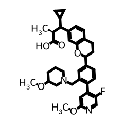 COc1cc(-c2ccc(C3CCc4ccc(C(C5CC5)[C@H](C)C(=O)O)cc4O3)cc2CN2CCCC(OC)C2)c(F)cn1